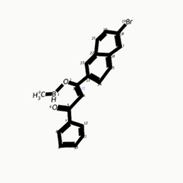 CBO/C(=C\C(=O)c1ccccc1)c1ccc2cc(Br)ccc2c1